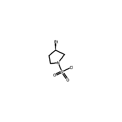 CC[C@@H]1CCN(S(=O)(=O)Cl)C1